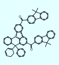 CC1(C)c2ccccc2-c2ccc(C(=O)c3ccc4c(c3)c3cc(C(=O)c5ccc6c(c5)C(C)(C)c5ccccc5-6)cc5c3n4-c3ccccc3C5(C3=CC=CCC3)c3ccccc3)cc21